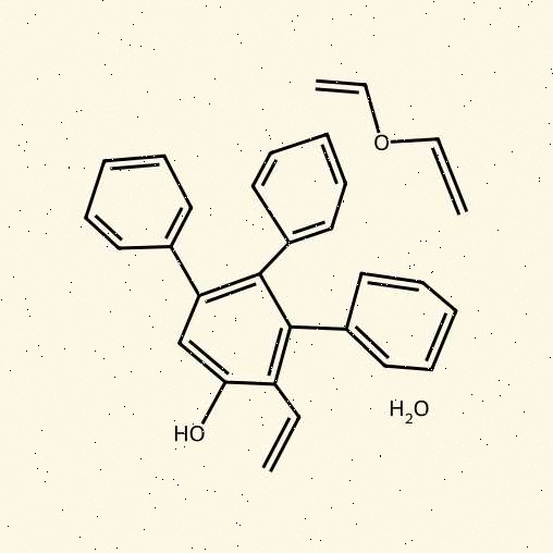 C=COC=C.C=Cc1c(O)cc(-c2ccccc2)c(-c2ccccc2)c1-c1ccccc1.O